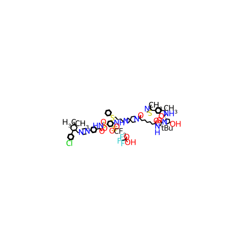 Cc1ncsc1-c1ccc([C@H](C)NC(=O)[C@@H]2C[C@@H](O)CN2C(=O)[C@@H](NC(=O)CCCCCC(=O)N2CCC3(CC2)CN(CC[C@H](CSc2ccccc2)Nc2ccc(S(=O)(=O)NC(=O)c4ccc(N5CCN(CC6=C(c7ccc(Cl)cc7)CCC(C)(C)C6)CC5)cc4)cc2S(=O)(=O)C(F)(F)F)C3)C(C)(C)C)cc1.O=C(O)C(F)(F)F